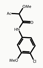 COc1cc(NC(=O)C(OC)C(C)=O)ccc1Cl